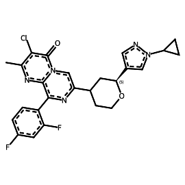 Cc1nc2c(-c3ccc(F)cc3F)nc(C3CCO[C@H](c4cnn(C5CC5)c4)C3)cn2c(=O)c1Cl